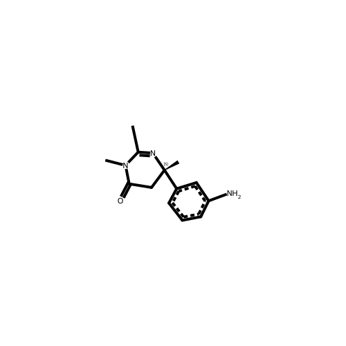 CC1=N[C@](C)(c2cccc(N)c2)CC(=O)N1C